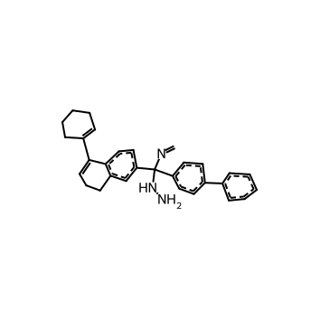 C=NC(NN)(c1ccc(-c2ccccc2)cc1)c1ccc2c(c1)CCC=C2C1=CCCCC1